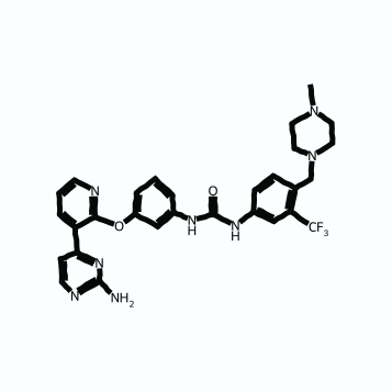 CN1CCN(Cc2ccc(NC(=O)Nc3cccc(Oc4ncccc4-c4ccnc(N)n4)c3)cc2C(F)(F)F)CC1